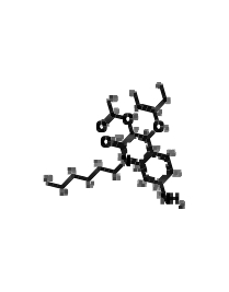 CC=C(CC)Oc1c(OC(C)=O)c(=O)n(CCCCCC)c2cc(N)ccc12